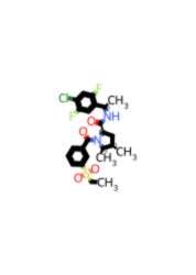 CCS(=O)(=O)c1cccc(C(=O)N2[C@@H](C(=O)N[C@H](C)c3cc(F)c(Cl)cc3F)C[C@@H](C)[C@H]2C)c1